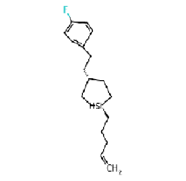 C=CCCC[Si@H]1CC[C@H](CCc2ccc(F)cc2)CC1